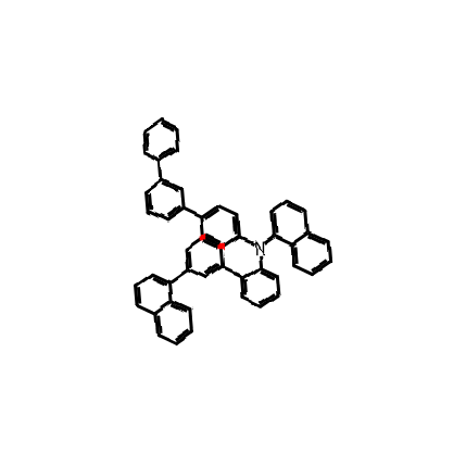 c1ccc(-c2cccc(-c3ccc(N(c4ccccc4-c4cccc(-c5cccc6ccccc56)c4)c4cccc5ccccc45)cc3)c2)cc1